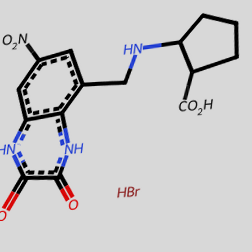 Br.O=C(O)C1CCCC1NCc1cc([N+](=O)[O-])cc2[nH]c(=O)c(=O)[nH]c12